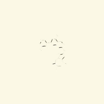 Cc1c(N)cncc1-c1cc2cc(Nc3cc4n(n3)CC(=O)N(C)C[C@@H]4F)ncc2c(N)c1F